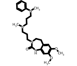 COc1cc2c(cc1OC)NC(=O)N(CCCN(C)CCCN(C)c1ccccc1)CC2